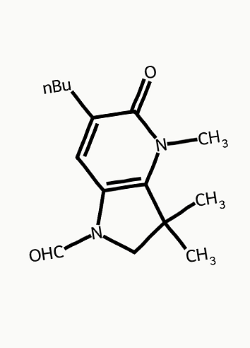 CCCCc1cc2c(n(C)c1=O)C(C)(C)CN2C=O